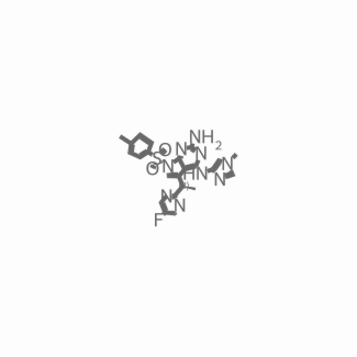 Cc1ccc(S(=O)(=O)n2cc([C@@H](C)c3ncc(F)cn3)c3c(Nc4cn(C)cn4)nc(N)nc32)cc1